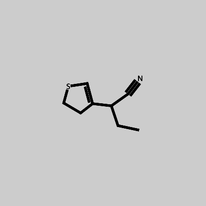 CCC(C#N)C1=CSCC1